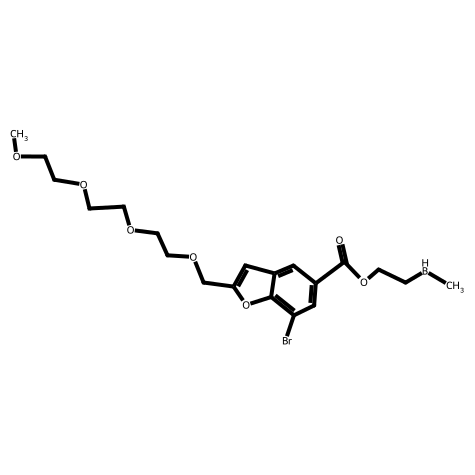 CBCCOC(=O)c1cc(Br)c2oc(COCCOCCOCCOC)cc2c1